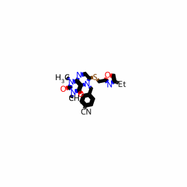 CCc1coc(CSC2C=Nc3c(c(=O)n(C)c(=O)n3C)N2Cc2ccc(C#N)cc2)n1